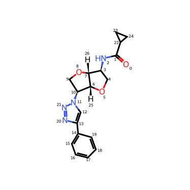 O=C(N[C@H]1CO[C@H]2[C@@H]1OC[C@@H]2n1cc(-c2ccccc2)nn1)C1CC1